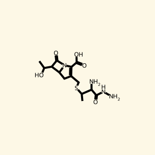 CC(O)C1C(=O)N2C(C(=O)O)=C(CSC(C)C(N)C(=O)NN)CC12